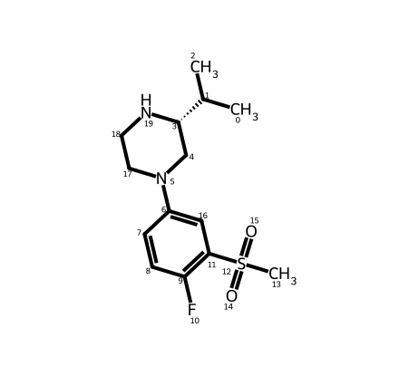 CC(C)[C@@H]1CN(c2ccc(F)c(S(C)(=O)=O)c2)CCN1